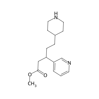 COC(=O)CC(CCC1CCNCC1)c1cccnc1